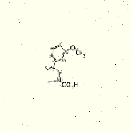 C=C(CN(C)C(=O)O)c1cccc(OC(F)(F)F)c1